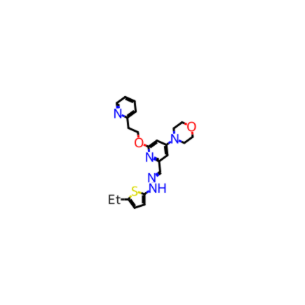 CCc1ccc(NN=Cc2cc(N3CCOCC3)cc(OCCc3ccccn3)n2)s1